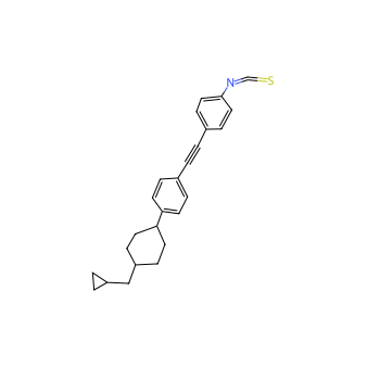 S=C=Nc1ccc(C#Cc2ccc(C3CCC(CC4CC4)CC3)cc2)cc1